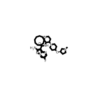 CN1CC[C@@H](OC2CCN(C3CCNC4(CCCCCCCC4)C3NC(=O)c3c(N)nn4cc(F)cnc34)CC2)C1